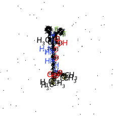 CC(C)(C)[C@H](c1cc(-c2cc(F)ccc2F)cn1Cc1ccccc1)N(CC[C@H](N)C(=O)NCCC(=O)NCCCC[C@H](NC(=O)OCCS(C)(C)C)C(=O)OCCS(C)(C)C)C(=O)CO